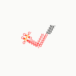 O.O.O.O.O.O.O.O.O.O.O=P([O-])([O-])P(=O)([O-])[O-].[Na+].[Na+].[Na+].[Na+]